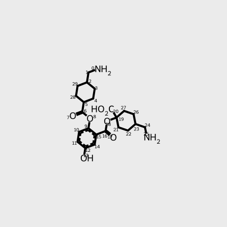 NCC1CCC(C(=O)Oc2ccc(O)cc2C(=O)OC2(C(=O)O)CCC(CN)CC2)CC1